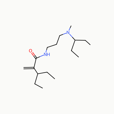 C=C(C(=O)NCCCN(C)C(CC)CC)C(CC)CC